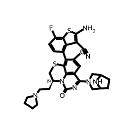 N#Cc1c(N)sc2c(F)ccc(-c3c(Cl)cc4c(N5CC6CCC(C5)N6)nc(=O)n5c4c3SC[C@@H]5CCN3CCCC3)c12